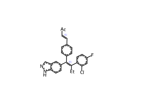 CC/C(=C(/c1ccc(/C=C/C(C)=O)cc1)c1ccc2[nH]ncc2c1)c1ccc(F)cc1Cl